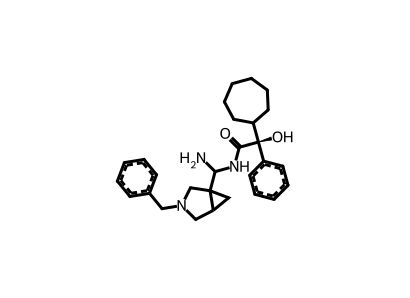 NC(NC(=O)[C@@](O)(c1ccccc1)C1CCCCCC1)C12CC1CN(Cc1ccccc1)C2